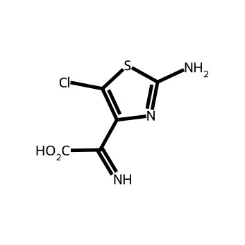 N=C(C(=O)O)c1nc(N)sc1Cl